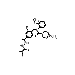 COc1ccccc1N(Cc1ccc(C(=O)NNC(=O)C(F)F)cc1F)C(=O)N1CCN(C)CC1